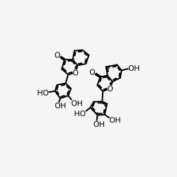 O=c1cc(-c2cc(O)c(O)c(O)c2)oc2cc(O)ccc12.O=c1cc(-c2cc(O)c(O)c(O)c2)oc2ccccc12